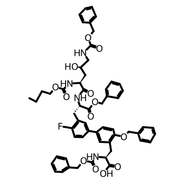 CCCCOC(=O)N[C@@H](C[C@@H](O)CNC(=O)OCc1ccccc1)C(=O)N[C@@H](Cc1cc(-c2ccc(OCc3ccccc3)c(C[C@H](NC(=O)OCc3ccccc3)C(=O)O)c2)ccc1F)C(=O)OCc1ccccc1